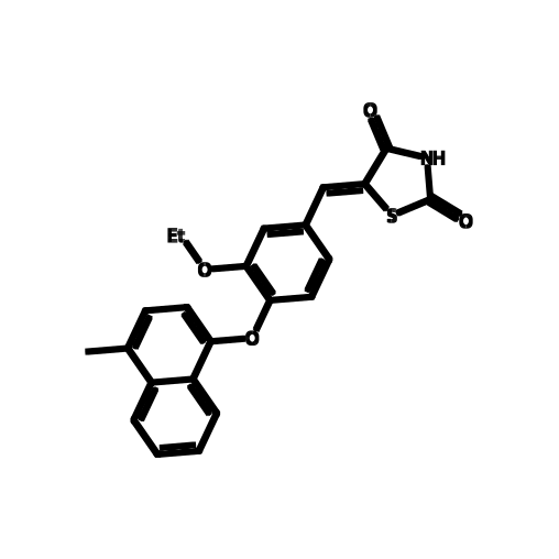 CCOc1cc(/C=C2\SC(=O)NC2=O)ccc1Oc1ccc(C)c2ccccc12